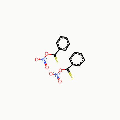 O=[N+]([O-])OC(=S)c1ccccc1.O=[N+]([O-])OC(=S)c1ccccc1